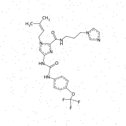 CC(C)=CCn1cc(NC(=O)Nc2ccc(OC(F)(F)F)cc2)nc1C(=O)NCCCn1ccnc1